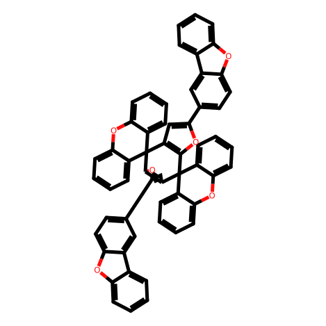 c1ccc2c(c1)Oc1ccccc1C21c2cc(-c3ccc4oc5ccccc5c4c3)oc2C2(c3ccccc3Oc3ccccc32)c2cc(-c3ccc4oc5ccccc5c4c3)oc21